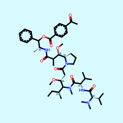 CC[C@H](C)C([C@@H](CC(=O)N1CCC[C@H]1[C@H](OC)C(C)C(=O)N[C@H](C)C(OC(=O)c1ccc(C(C)=O)cc1)c1ccccc1)OC)N(C)C(=O)[C@@H](NC(=O)[C@H](C(C)C)N(C)C)C(C)C